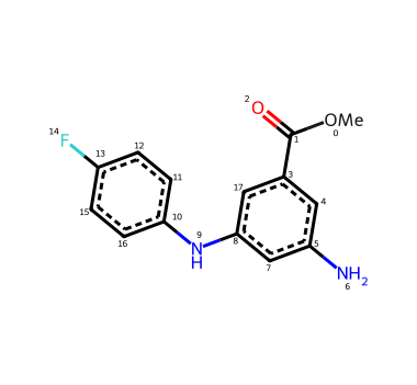 COC(=O)c1cc(N)cc(Nc2ccc(F)cc2)c1